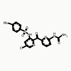 CC(C)(C)c1ccc(S(=O)(=O)Nc2cc(Cl)cnc2C(=O)c2cccc(NC(N)=O)n2)cc1